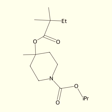 CCC(C)(C)C(=O)OC1(C)CCN(C(=O)OC(C)C)CC1